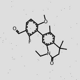 CCN1C(=O)CC(C)(C)c2cc(C)c(-c3c(OC)ccc(C=O)c3F)cc21